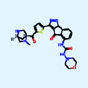 CN1C[C@@H]2C[C@]1(C(=O)c1ccc(C3=C4C(=O)c5c(NC(=O)NN6CCOCC6)cccc5C4N=N3)s1)CN2